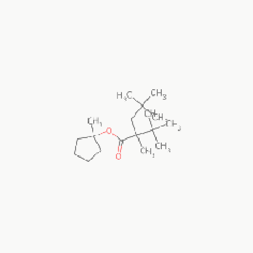 CC(C)(C)CC(C)(C(=O)OC1(C)CCCC1)C(C)(C)C